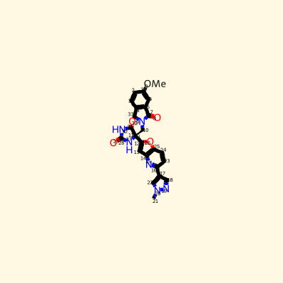 COc1ccc2c(c1)C(=O)N(C[C@@]1(c3cc4nc(-c5cnn(C)c5)ccc4o3)NC(=O)NC1=O)C2